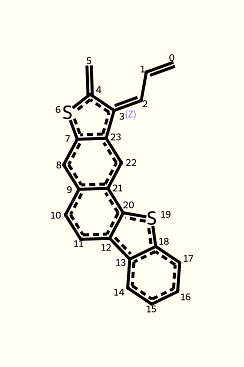 C=C/C=c1\c(=C)sc2cc3ccc4c5ccccc5sc4c3cc12